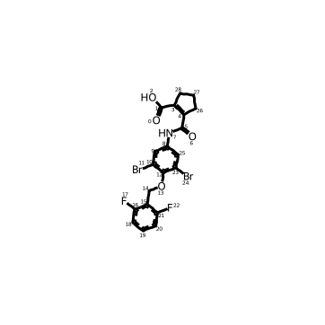 O=C(O)C1=C(C(=O)Nc2cc(Br)c(OCc3c(F)cccc3F)c(Br)c2)CCC1